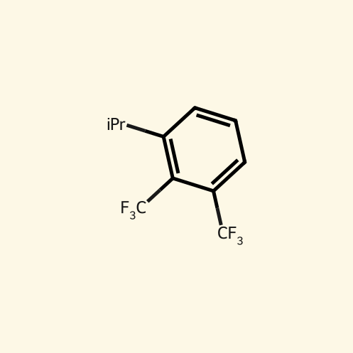 CC(C)c1cccc(C(F)(F)F)c1C(F)(F)F